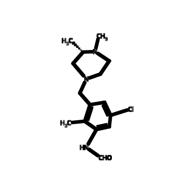 Cc1c(CN2CCN(C)[C@@H](C)C2)cc(Cl)cc1NC=O